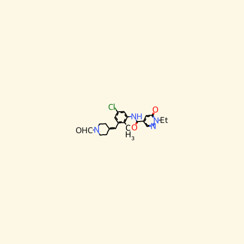 CCn1ncc(C(=O)Nc2cc(Cl)cc(C=C3CCN(C=O)CC3)c2C)cc1=O